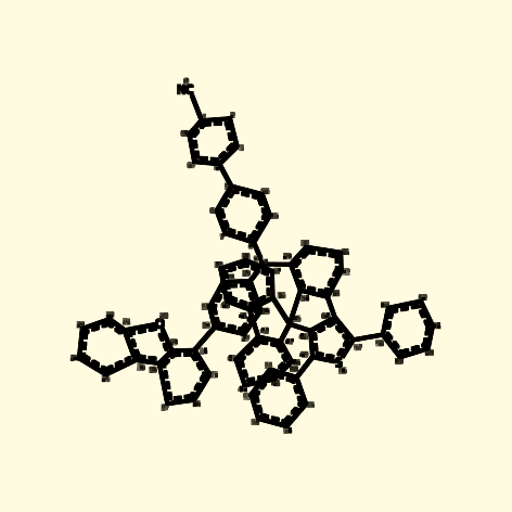 N#Cc1ccc(-c2ccc(N(c3ccc(-c4cccc5c4oc4ccccc45)cc3)c3cccc4c3C3(c5ccccc5-c5ccccc53)c3c(-c5ccccc5)sc(-c5ccccc5)c3-4)cc2)cc1